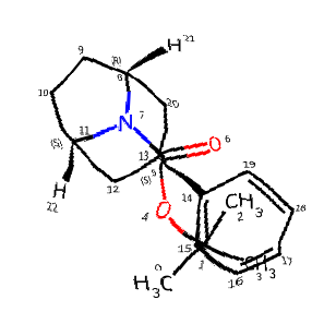 CC(C)(C)OC(=O)N1[C@@H]2CC[C@H]1C[C@H](c1ccccc1)C2